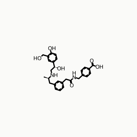 C[C@H](Cc1cccc(CC(=O)NCc2ccc(C(=O)O)cc2)c1)NC[C@@H](O)c1ccc(O)c(CO)c1